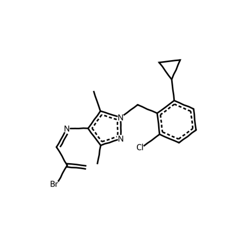 C=C(Br)/C=N\c1c(C)nn(Cc2c(Cl)cccc2C2CC2)c1C